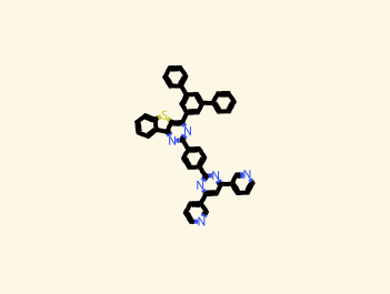 c1ccc(-c2cc(-c3ccccc3)cc(-c3nc(-c4ccc(-c5nc(-c6cccnc6)cc(-c6cccnc6)n5)cc4)nc4c3sc3ccccc34)c2)cc1